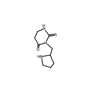 O=C1CCNC(=S)N1CC1CCCN1